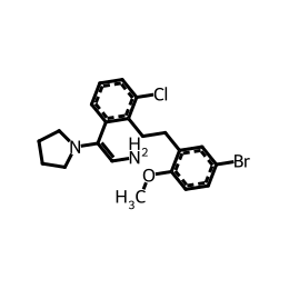 COc1ccc(Br)cc1CCc1c(Cl)cccc1/C(=C\N)N1CCCC1